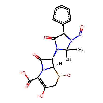 CC1(C)N(N=O)[C@H](c2ccccc2)C(=O)N1[C@@H]1C(=O)N2C(C(=O)O)=C(O)C[S@@+]([O-])[C@H]12